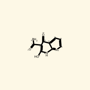 BC(=O)c1c(O)[nH]c2ncccc2c1=O